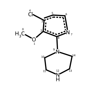 COc1c(Cl)ccnc1N1CCNCC1